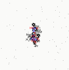 CC[C@H](C)C([C@@H](CC(=O)N1CCC[C@H]1[C@H](OC)[C@@H](C)C(=O)N[C@H](C)[C@@H](O)c1ccccc1)OC)N(C)C(=O)[C@@H](NC(=O)[C@H](C(C)C)N(C)C(=O)OC(CCCCC(C)C)OC(=O)[C@@H](NC(=O)OCc1ccccc1)C(C)C)C(C)C